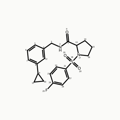 O=C(NCc1cccc(C2CC2)c1)C1CCCN1S(=O)(=O)c1ccc(F)cc1